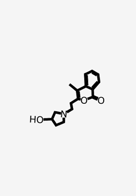 Cc1c(CCN2CCC(O)C2)oc(=O)c2ccccc12